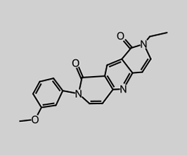 CCn1ccc2nc3ccn(-c4cccc(OC)c4)c(=O)c3cc2c1=O